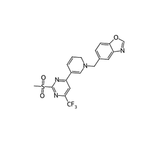 CS(=O)(=O)c1nc(C2=CN(Cc3ccc4ocnc4c3)CC=C2)cc(C(F)(F)F)n1